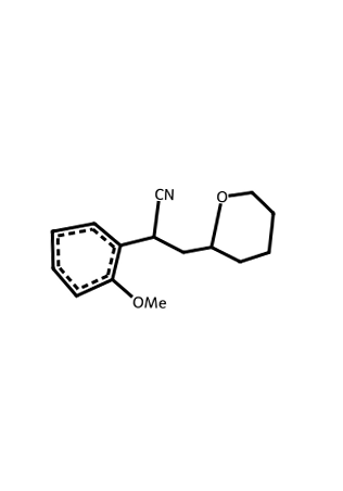 COc1ccccc1C(C#N)CC1CCCCO1